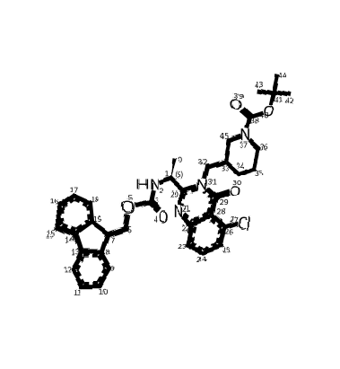 C[C@H](NC(=O)OCC1c2ccccc2-c2ccccc21)c1nc2cccc(Cl)c2c(=O)n1CC1CCCN(C(=O)OC(C)(C)C)C1